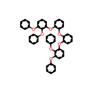 c1ccc(Oc2cccc(Oc3ccccc3Oc3ccccc3Oc3cccc(Oc4ccccc4)c3Oc3ccccc3)c2Oc2ccccc2)cc1